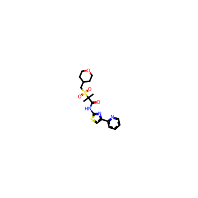 CC(C)(C(=O)Nc1nc(-c2ccccn2)cs1)S(=O)(=O)CC1CCOCC1